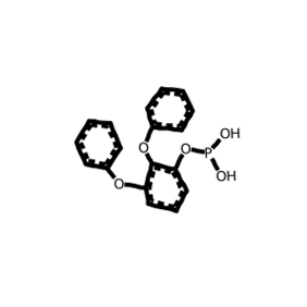 OP(O)Oc1cccc(Oc2ccccc2)c1Oc1ccccc1